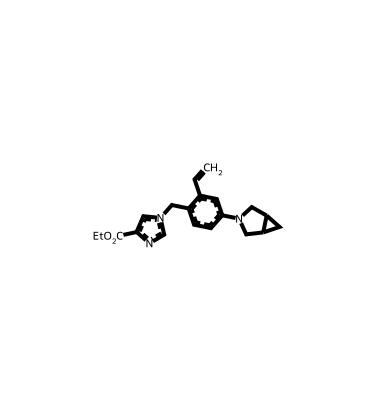 C=Cc1cc(N2CC3CC3C2)ccc1Cn1cnc(C(=O)OCC)c1